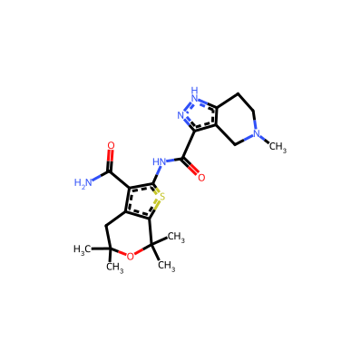 CN1CCc2[nH]nc(C(=O)Nc3sc4c(c3C(N)=O)CC(C)(C)OC4(C)C)c2C1